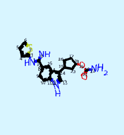 N=C(Nc1cccs1)c1ccc2[nH]cc(C3CCC(OC(N)=O)C3)c2c1